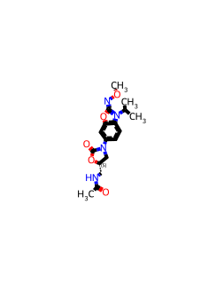 CON=c1oc2cc(N3C[C@H](CNC(C)=O)OC3=O)ccc2n1C(C)C